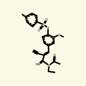 C#C/C(=C\c1ccc(OS(=O)(=O)c2ccc(C)cc2)c(OC)c1)C(=N)N(CC)C(C)=O